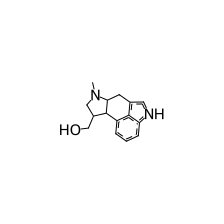 CN1CC(CO)C2c3cccc4[nH]cc(c34)CC21